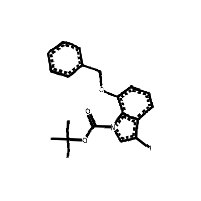 CC(C)(C)OC(=O)n1cc(I)c2cccc(OCc3ccccc3)c21